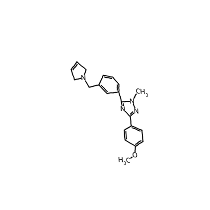 COc1ccc(-c2nc(-c3cccc(CN4CC=CC4)c3)n(C)n2)cc1